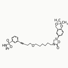 CC(C)NS(=O)(=O)c1cccc(C#CCCOCCCCCCN2C[C@@H](c3ccc4c(c3)COC(C)(C)O4)OC2=O)c1